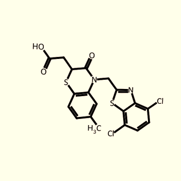 Cc1ccc2c(c1)N(Cc1nc3c(Cl)ccc(Cl)c3s1)C(=O)C(CC(=O)O)S2